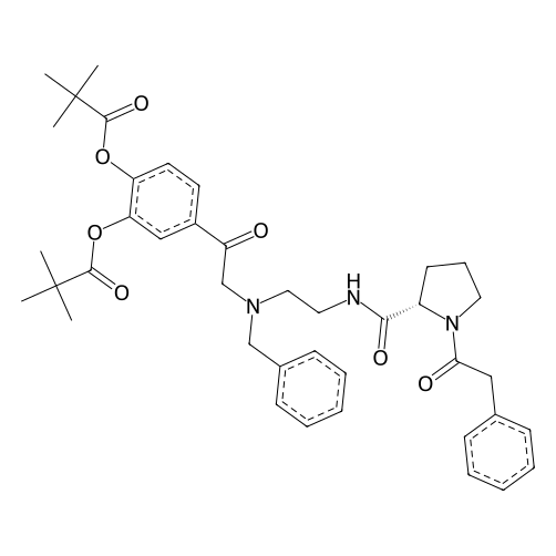 CC(C)(C)C(=O)Oc1ccc(C(=O)CN(CCNC(=O)[C@@H]2CCCN2C(=O)Cc2ccccc2)Cc2ccccc2)cc1OC(=O)C(C)(C)C